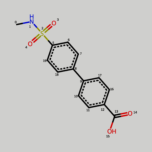 CNS(=O)(=O)c1ccc(-c2ccc(C(=O)O)cc2)cc1